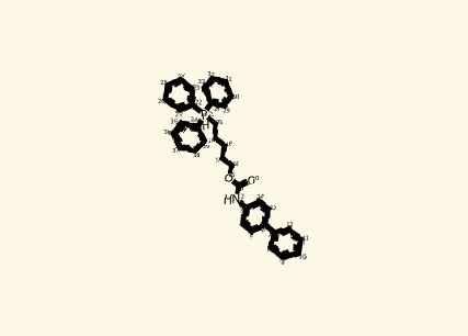 O=C(Nc1ccc(-c2ccccc2)cc1)OCCCCC[PH](c1ccccc1)(c1ccccc1)c1ccccc1